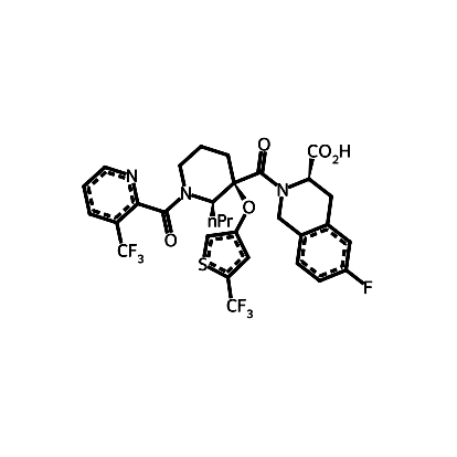 CCC[C@H]1N(C(=O)c2ncccc2C(F)(F)F)CCC[C@]1(Oc1csc(C(F)(F)F)c1)C(=O)N1Cc2ccc(F)cc2C[C@@H]1C(=O)O